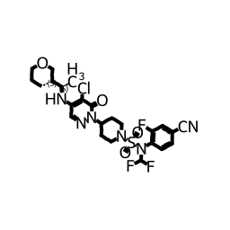 C[C@H](Nc1cnn(C2CCN(S(=O)(=O)N(c3ccc(C#N)cc3F)C(F)F)CC2)c(=O)c1Cl)[C@@H]1CCCOC1